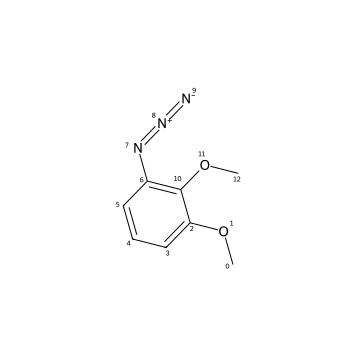 COc1cccc(N=[N+]=[N-])c1OC